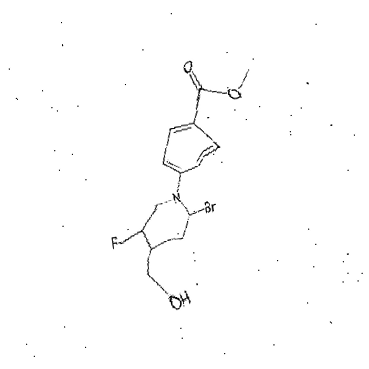 COC(=O)c1ccc(N2CC(F)C(CO)CC2Br)cc1